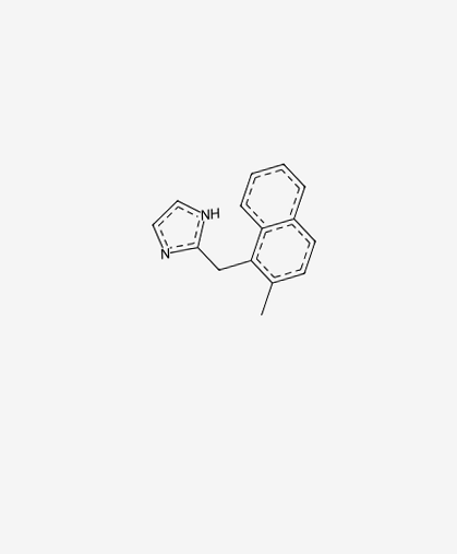 Cc1ccc2ccccc2c1Cc1ncc[nH]1